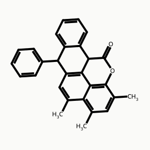 Cc1cc(C)c2c(C)cc3c4c2c1OC(=O)C4c1ccccc1C3c1ccccc1